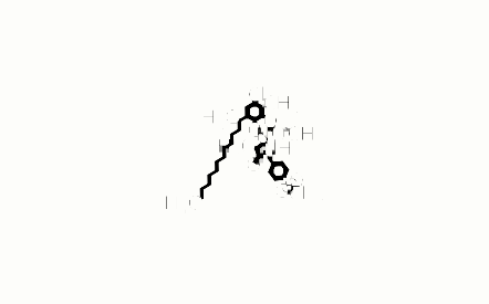 CCCCCCCCCCCCC(C)c1cc(Cl)c(C)cc1ON(C(=O)OCC)c1[nH]n(-c2ccc(S(C)(=O)=O)cc2)c(=O)c1C